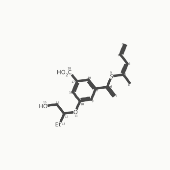 C=C/C=C(/C)SC(=C)c1cc(OC(CC)CO)cc(C(=O)O)c1